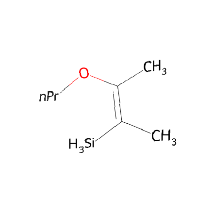 CCCOC(C)=C(C)[SiH3]